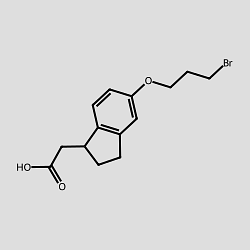 O=C(O)CC1CCc2cc(OCCCBr)ccc21